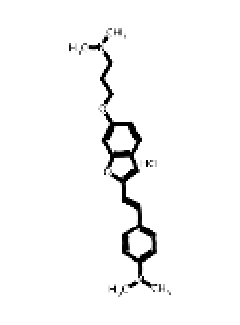 CN(C)CCCOc1ccc2cc(/C=C/c3ccc(N(C)C)cc3)oc2c1.Cl